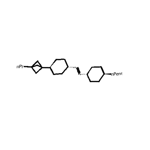 CCCCC[C@H]1CC[C@H](C=C[C@H]2CC[C@H](C34CC(CCC)(C3)C4)CC2)CC1